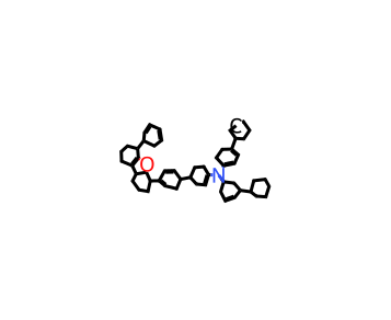 C1=CCC(C2CCCC3=C2OC2C(C4=CCC(C5CC=C(N(C6=CC=C(C7CCCCC7)CC6)C6CC=CC(C7CCCCC7)C6)CC5)C=C4)CCCC32)C=C1